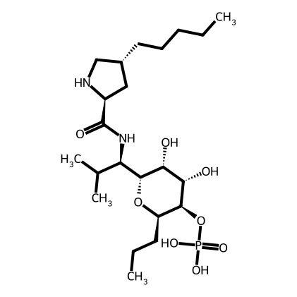 CCCCC[C@H]1CN[C@H](C(=O)N[C@H](C(C)C)[C@H]2O[C@H](CCC)[C@H](OP(=O)(O)O)[C@@H](O)[C@H]2O)C1